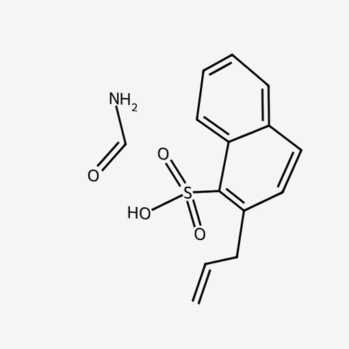 C=CCc1ccc2ccccc2c1S(=O)(=O)O.NC=O